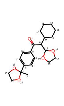 CC1(c2ccc(C(=O)C(C3CCCCC3)C3OCCO3)cc2)OCCO1